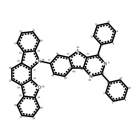 c1ccc(-c2nc(-c3ccccc3)c3sc4cc(-n5c6ccccc6c6ccc7c8ccccc8oc7c65)ccc4c3n2)cc1